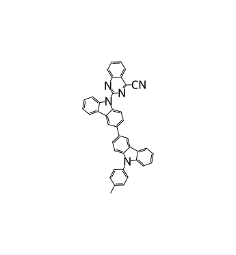 Cc1ccc(-n2c3ccccc3c3cc(-c4ccc5c(c4)c4ccccc4n5-c4nc(C#N)c5ccccc5n4)ccc32)cc1